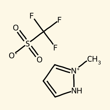 C[n+]1ccc[nH]1.O=S(=O)([O-])C(F)(F)F